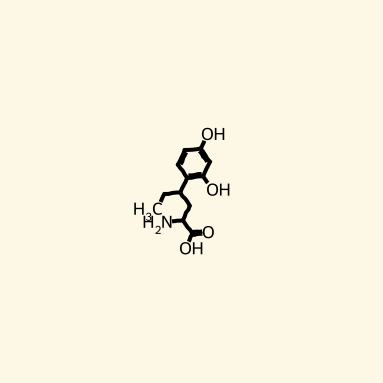 CCC(CC(N)C(=O)O)c1ccc(O)cc1O